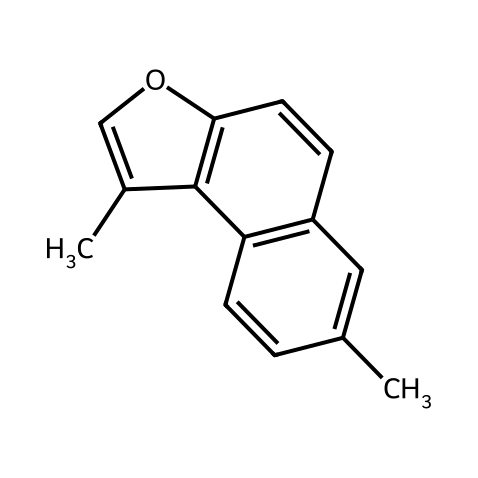 Cc1ccc2c(ccc3occ(C)c32)c1